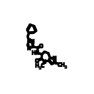 CN1C(=O)C(NC(=O)c2ncn(Cc3ccccc3)n2)CCc2nn(C)cc21